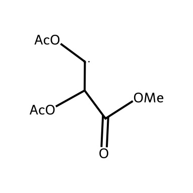 COC(=O)C([CH]OC(C)=O)OC(C)=O